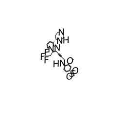 COc1cc(S(C)(=O)=O)ccc1NCC#Cc1nc2c([C@@H]3CCN(C)CCN3)cccn2c1CC(F)(F)F